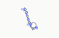 C=C1CCC(c2ccc(N3CCC(N4CCN(c5ccc6c(c5)N5CCCCCCc7c(cnn7C)-c7cc(cc(C)n7)C(=C)/N=C/5N6)CC4)CC3)cn2)C(=C)N1